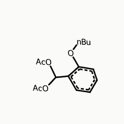 CCCCOc1ccccc1C(OC(C)=O)OC(C)=O